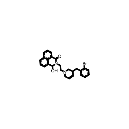 O=C1c2cccc3cccc(c23)C(O)N1CCN1CC=CC(Cc2ccccc2Br)C1